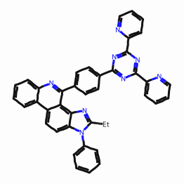 CCc1nc2c3c(-c4ccc(-c5nc(-c6ccccn6)nc(-c6ccccn6)n5)cc4)nc4ccccc4c3ccc2n1-c1ccccc1